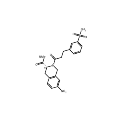 CNC(=O)[C@H]1Cc2ccc([N+](=O)[O-])cc2CN1C(=O)CCc1cccc(S(N)(=O)=O)c1